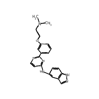 CN(C)CCOc1cccc(-c2nccc(Nc3ccc4[nH]ncc4c3)n2)c1